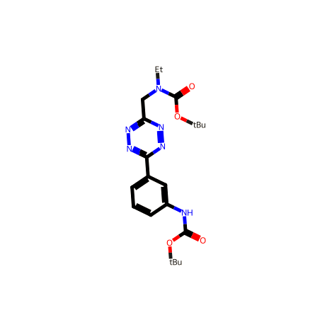 CCN(Cc1nnc(-c2cccc(NC(=O)OC(C)(C)C)c2)nn1)C(=O)OC(C)(C)C